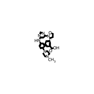 CN1CCN(c2ccc(Nc3cc(N4OCC[C@@H]4c4cccc(C(=O)O)c4)ncn3)cc2)CC1